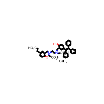 O=C(O)CCC1=CC(CN(CCN(CC(=O)O)Cc2cc(C(=C(c3ccccc3)c3ccccc3)c3ccccc3)ccc2O)CC(=O)O)C(=O)C=C1.[GaH3]